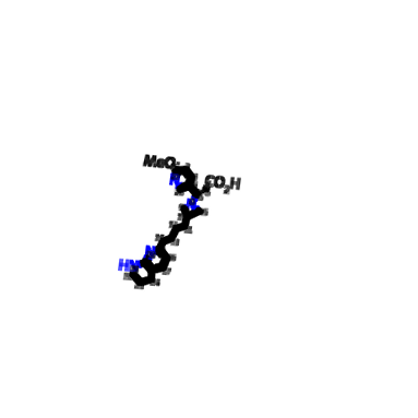 COc1ccc([C@H](CC(=O)O)N2CC(CCCCc3ccc4c(n3)NCCC4)C2)cn1